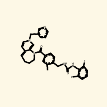 Cc1cc(C(=O)N2CCCC=C3C=CN(Cc4cccnc4)C=C32)ccc1CNC(=O)Nc1c(F)cccc1F